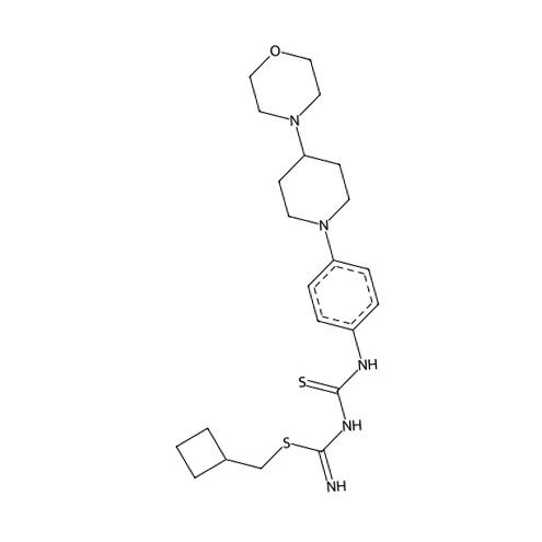 N=C(NC(=S)Nc1ccc(N2CCC(N3CCOCC3)CC2)cc1)SCC1CCC1